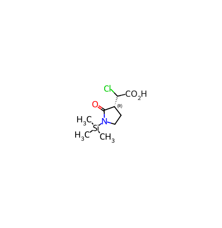 C[Si](C)(C)N1CC[C@@H](C(Cl)C(=O)O)C1=O